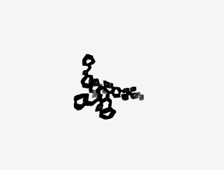 O=C1N(Cc2ccccc2)C(c2ccc(OS(=O)(=O)C(F)(F)F)cc2)[C@H](O)[C@@H](O)[C@@H](Cc2ccc(OCc3ccccc3)cc2)N1Cc1ccccc1